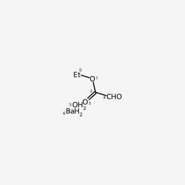 CCOC(=O)C=O.O.[BaH2]